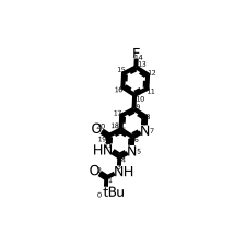 CC(C)(C)C(=O)Nc1nc2ncc(-c3ccc(F)cc3)cc2c(=O)[nH]1